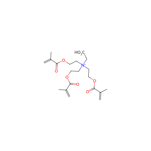 C=C(C)C(=O)OCC[N+](CCOC(=O)C(=C)C)(CCOC(=O)C(=C)C)CC(=O)O